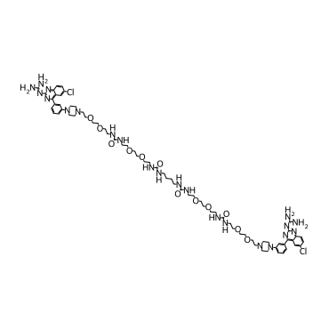 NC(N)=Nc1nc(-c2cccc(N3CCN(CCOCCOCCNC(=O)NCCOCCOCCNC(=O)NCCCCNC(=O)NCCOCCOCCNC(=O)NCCOCCOCCN4CCN(c5cccc(-c6nc(N=C(N)N)nc7ccc(Cl)cc67)c5)CC4)CC3)c2)c2cc(Cl)ccc2n1